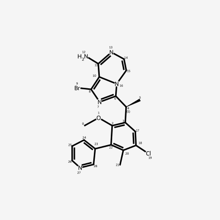 COc1c([C@H](C)c2nc(Br)c3c(N)nccn23)cc(Cl)c(C)c1-c1cccnc1